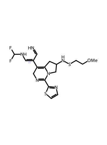 COCCSNC1CC2=C(/C(C=N)=C/NC(F)F)CN=C(c3nccs3)N2C1